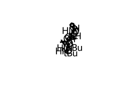 CN(C)C(=O)[C@@H](NC(=O)CNC(=O)[C@H](CC(F)F)NC(=O)[C@@H]1C2C(CN1C(=O)[C@@H](NC(=O)NC(C)(C)C)C(C)(C)C)C2(C)C)c1ccccc1